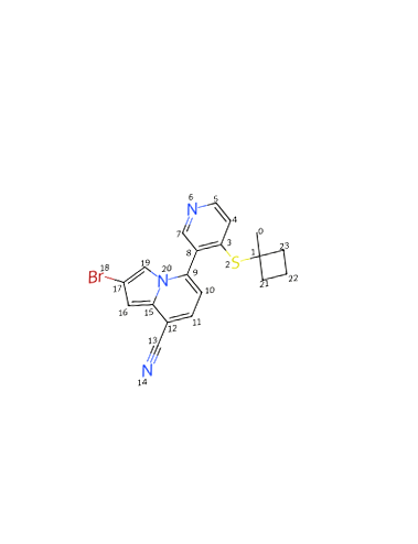 CC1(Sc2ccncc2-c2ccc(C#N)c3cc(Br)cn23)CCC1